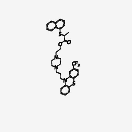 CC(Sc1cccc2ccccc12)C(=O)OCCN1CCN(CCCN2c3ccccc3Sc3ccc(C(F)(F)F)cc32)CC1